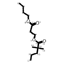 CCCCOC(=O)CCOC(=O)C(C)(C)CCC